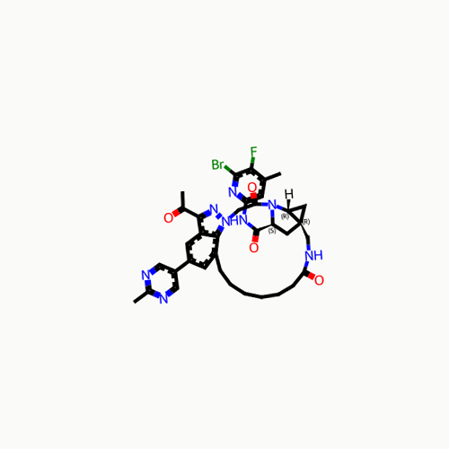 CC(=O)c1nn2c3c(cc(-c4cnc(C)nc4)cc13)CCCCCCC(=O)NC[C@@]13C[C@@H](C(=O)Nc4cc(C)c(F)c(Br)n4)N(C(=O)C2)[C@@H]1C3